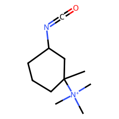 CC1([N+](C)(C)C)CCCC(N=C=O)C1